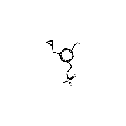 CS(=O)(=O)OCc1cc(CC2CC2)cc(C(F)(F)F)c1